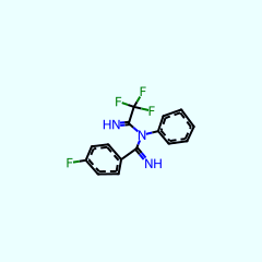 N=C(c1ccc(F)cc1)N(C(=N)C(F)(F)F)c1ccccc1